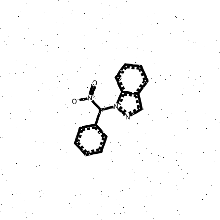 O=[N+]([O-])C(c1ccccc1)n1n[c]c2ccccc21